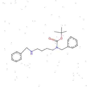 CC(C)(C)OC(=O)N(CCCCNCc1ccccc1)Cc1ccccc1